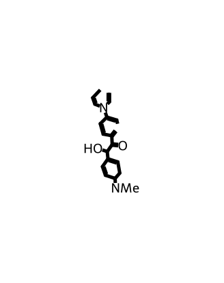 C=CN(/C=C\C)C(/C=C\C(=C)C(=O)C(O)C1=CCC(NC)C=C1)=C/C